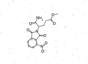 COC(=O)CCC(C(N)=O)N1C(=O)c2cccc([N+](=O)[O-])c2C1=O